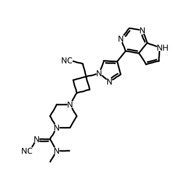 CN(C)/C(=N\C#N)N1CCN(C2CC(CC#N)(n3cc(-c4ncnc5[nH]ccc45)cn3)C2)CC1